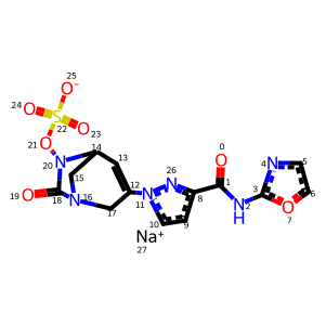 O=C(Nc1ncco1)c1ccn(C2=CC3CN(C2)C(=O)N3OS(=O)(=O)[O-])n1.[Na+]